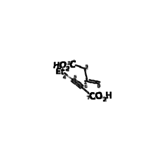 C=CCC(=O)O.CCC#CC(=O)O